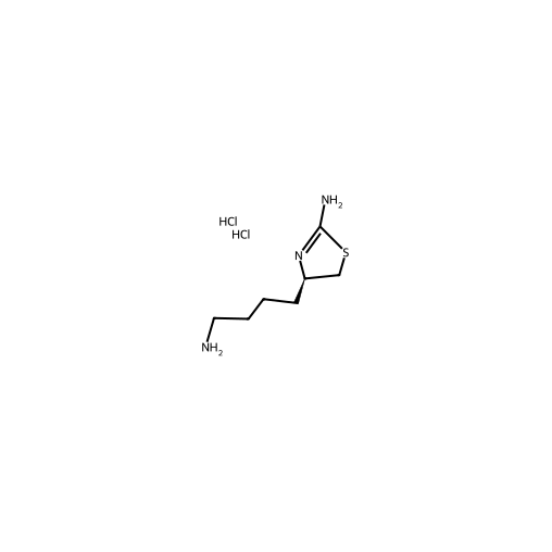 Cl.Cl.NCCCC[C@@H]1CSC(N)=N1